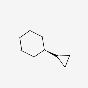 [CH]1CCC[C@@H](C2CC2)C1